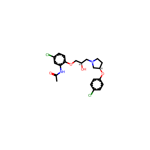 CC(=O)Nc1cc(Cl)ccc1OC[C@H](O)CN1CC[C@@H](Oc2ccc(Cl)cc2)C1